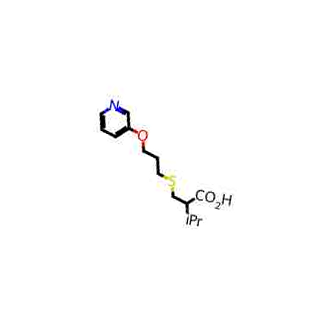 CC(C)C(CSCCCOc1cccnc1)C(=O)O